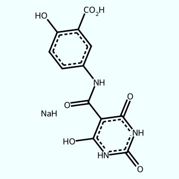 O=C(O)c1cc(NC(=O)c2c(O)[nH]c(=O)[nH]c2=O)ccc1O.[NaH]